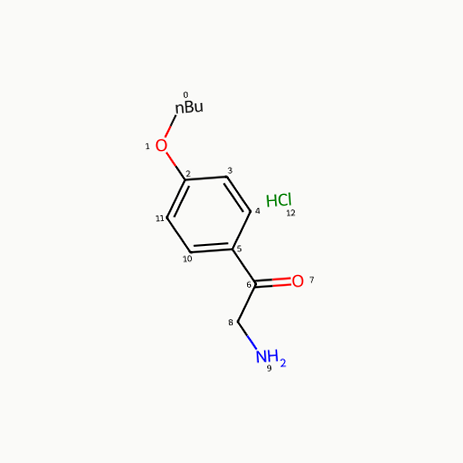 CCCCOc1ccc(C(=O)CN)cc1.Cl